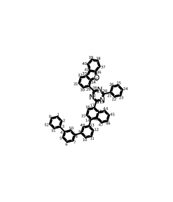 c1ccc(-c2cccc(-c3cccc(-c4ccc(-c5nc(-c6ccccc6)nc(-c6cccc7c6oc6ccccc67)n5)c5ccccc45)c3)c2)cc1